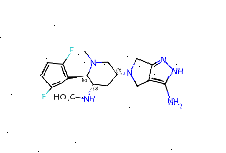 CN1C[C@H](N2Cc3n[nH]c(N)c3C2)C[C@H](NC(=O)O)[C@H]1c1cc(F)ccc1F